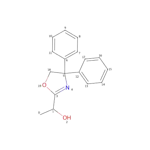 CC(O)C1=NC(c2ccccc2)(c2ccccc2)CO1